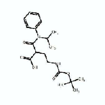 CC(C)N(C(=O)C(CCNC(=O)OC(C)(C)C)C(=O)O)c1ccccc1